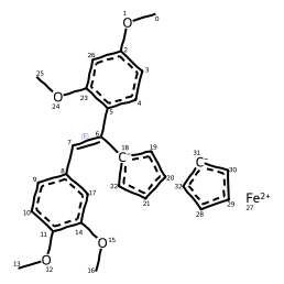 COc1ccc(/C(=C/c2ccc(OC)c(OC)c2)[c-]2cccc2)c(OC)c1.[Fe+2].c1cc[cH-]c1